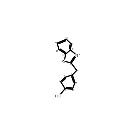 Oc1ccc(Cc2nc3ccccc3s2)cc1